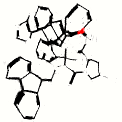 Cc1ncsc1-c1ccc([C@H](C)NC(=O)[C@H]2C[C@@H](O)CN2C(=O)[C@@H](N(CC2c3ccccc3-c3ccccc32)C(=O)O)C(C)(C)SC(c2ccccc2)(c2ccccc2)c2ccccc2)cc1